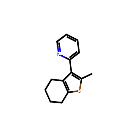 Cc1sc2c(c1-c1ccccn1)CCCC2